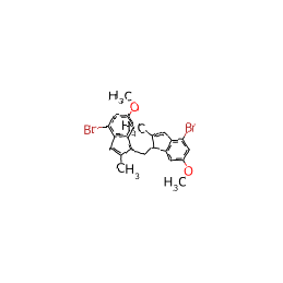 COc1cc(Br)c2c(c1)C(CC1C(C)=Cc3c(Br)cc(OC)cc31)C(C)=C2